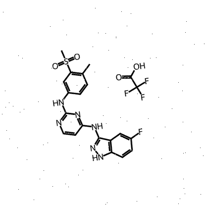 Cc1ccc(Nc2nccc(Nc3n[nH]c4ccc(F)cc34)n2)cc1S(C)(=O)=O.O=C(O)C(F)(F)F